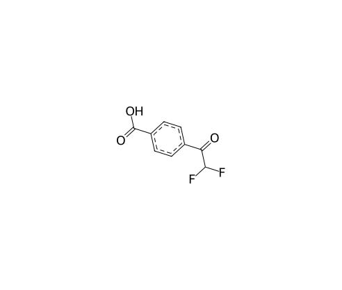 O=C(O)c1ccc(C(=O)C(F)F)cc1